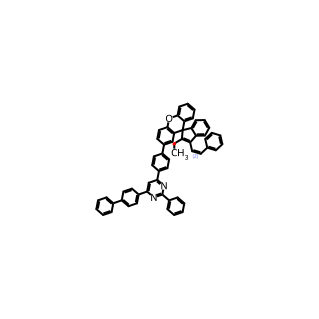 CCC1=C(/C=C\c2ccccc2)c2ccccc2C12c1ccccc1Oc1ccc(-c3ccc(-c4cc(-c5ccc(-c6ccccc6)cc5)nc(-c5ccccc5)n4)cc3)cc12